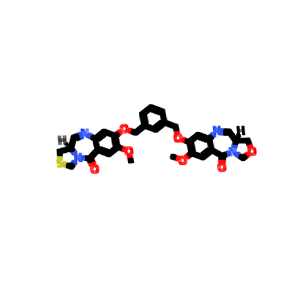 COc1cc2c(cc1OCc1cccc(COc3cc4c(cc3OC)C(=O)N3CSC[C@H]3C=N4)c1)N=C[C@@H]1COCN1C2=O